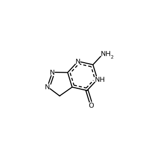 Nc1nc2c(c(=O)[nH]1)CN=N2